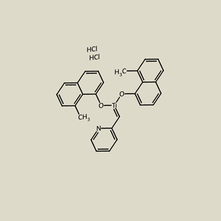 Cc1cccc2cccc([O][Ti](=[CH]c3ccccn3)[O]c3cccc4cccc(C)c34)c12.Cl.Cl